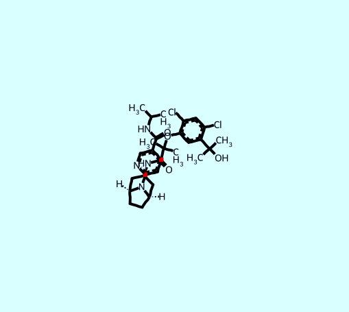 CC(C)NC(=O)c1ccc(N2[C@@H]3CC[C@H]2C[C@@H](NC(=O)C(C)(C)Oc2cc(C(C)(C)O)c(Cl)cc2Cl)C3)nc1